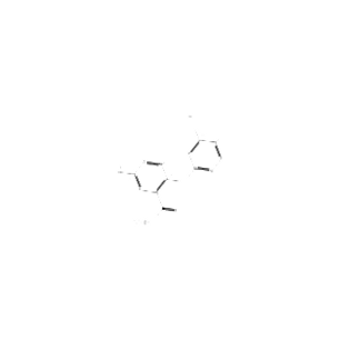 COC(=O)c1cc(Cl)ccc1Oc1cccc(F)c1